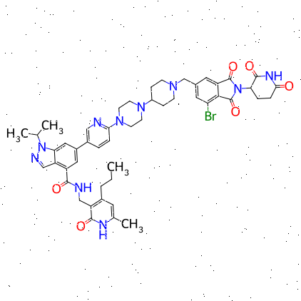 CCCc1cc(C)[nH]c(=O)c1CNC(=O)c1cc(-c2ccc(N3CCN(C4CCN(Cc5cc(Br)c6c(c5)C(=O)N(C5CCC(=O)NC5=O)C6=O)CC4)CC3)nc2)cc2c1cnn2C(C)C